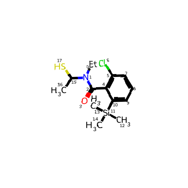 CCN(C(=O)c1c(Cl)cccc1[Si](C)(C)C)C(C)S